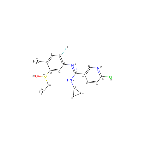 Cc1cc(F)c(/N=C(\NC2CC2)c2ccc(Cl)nc2)cc1[S+]([O-])CC(F)(F)F